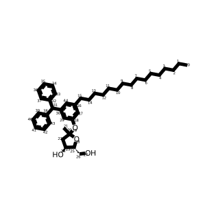 CCCCCCCCCCCCCCCCc1cc(OC2(C)C[C@H](O)[C@@H](CO)O2)cc(C(c2ccccc2)c2ccccc2)c1